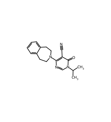 CC(C)n1cnc(N2CCc3ccccc3CC2)c(C#N)c1=O